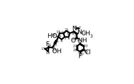 Cn1cnc(C2CC3CC(O)(C#CC(O)C4(F)CC4)CC3C2)c1C(=O)Nc1ccc(F)c(Cl)c1